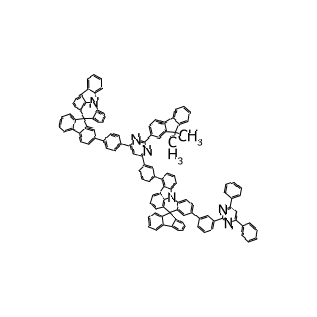 CC1(C)c2ccccc2-c2ccc(-c3nc(-c4ccc(-c5ccc6c(c5)C5(c7ccccc7-6)c6ccccc6-n6c7ccccc7c7cccc5c76)cc4)cc(-c4cccc(-c5cccc6c5c5cccc7c5n6-c5ccc(-c6cccc(-c8nc(-c9ccccc9)cc(-c9ccccc9)n8)c6)cc5C75c6ccccc6-c6ccccc65)c4)n3)cc21